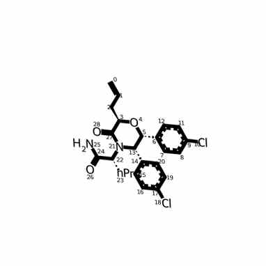 C=CC[C@H]1O[C@H](c2ccc(Cl)cc2)[C@H](c2ccc(Cl)cc2)N([C@H](CCC)C(N)=O)C1=O